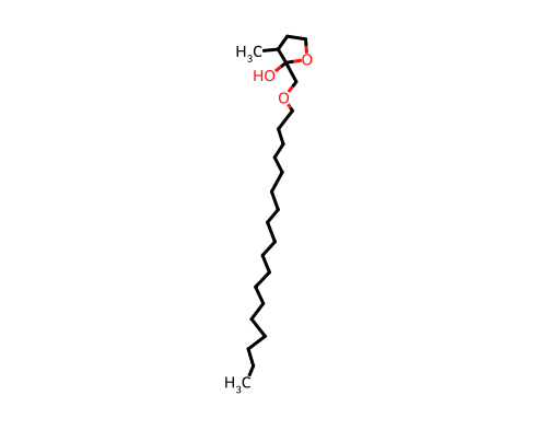 CCCCCCCCCCCCCCCCCCOCC1(O)OCCC1C